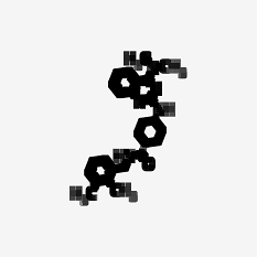 Cc1cccc(CNC(=O)[C@H]2CC[C@@H](Nc3nc(N(C)C)c4ccccc4n3)CC2)c1C